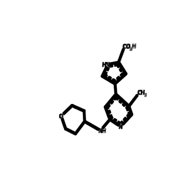 Cc1cnc(NC2CCOCC2)cc1-c1c[nH]c(C(=O)O)c1